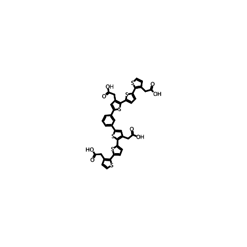 O=C(O)Cc1ccsc1-c1ccc(-c2sc(-c3cccc(-c4cc(CC(=O)O)c(-c5ccc(-c6sccc6CC(=O)O)s5)s4)c3)cc2CC(=O)O)s1